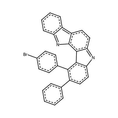 Brc1ccc(-c2c(-c3ccccc3)ccc3c2-c2c4c(ccc2=N3)=c2ccccc2=N4)cc1